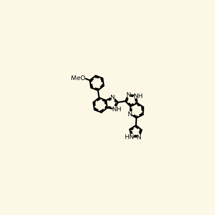 COc1cccc(-c2cccc3[nH]c(-c4n[nH]c5ccc(-c6cn[nH]c6)nc45)nc23)c1